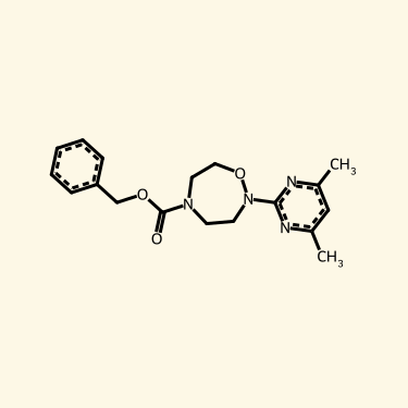 Cc1cc(C)nc(N2CCN(C(=O)OCc3ccccc3)CCO2)n1